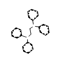 [Pd].c1ccc(P(CCP(c2ccccc2)c2ccccc2)c2ccccc2)cc1